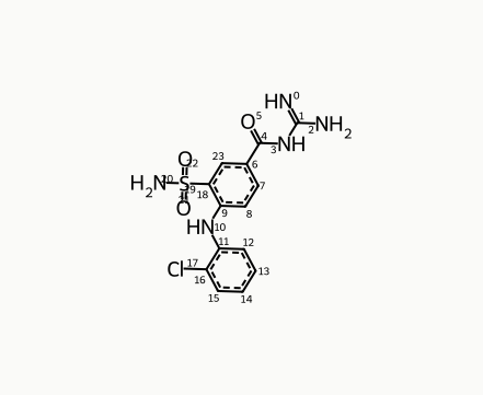 N=C(N)NC(=O)c1ccc(Nc2ccccc2Cl)c(S(N)(=O)=O)c1